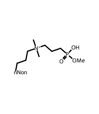 CCCCCCCCCCCC[N+](C)(C)CCCP(=O)(O)OC